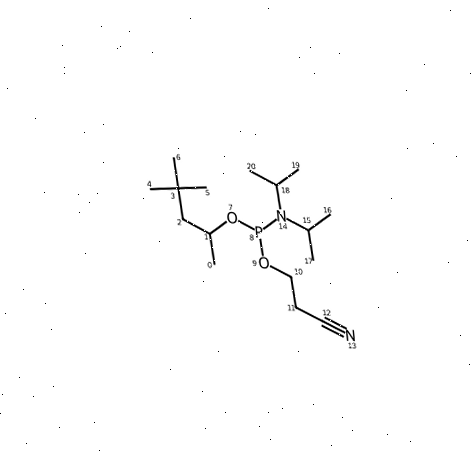 CC(CC(C)(C)C)OP(OCCC#N)N(C(C)C)C(C)C